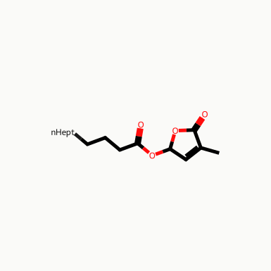 CCCCCCCCCCC(=O)OC1C=C(C)C(=O)O1